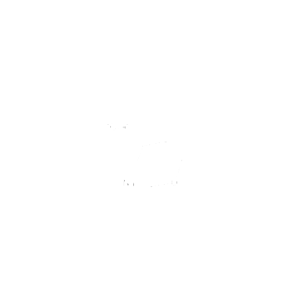 O=C([O-])C1CCOCC1.[Na+]